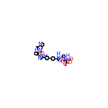 COC(=O)N[C@H](C(=O)N1CCC[C@H]1c1ncc(-c2ccc(-c3ccc(-c4cnc(C5C6CCC(C6)[C@@H]5C(=O)NCc5cccnc5C5CC5)[nH]4)cc3)cc2)[nH]1)[C@@H](C)OC